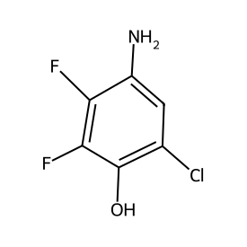 Nc1cc(Cl)c(O)c(F)c1F